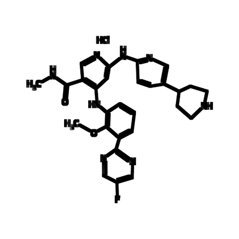 CNC(=O)c1cnc(Nc2ccc(C3CCNCC3)cn2)cc1Nc1cccc(-c2ncc(F)cn2)c1OC.Cl